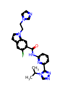 CC(C)n1cnnc1-c1cccc(NC(=O)c2cc3c(ccn3CCn3ccnc3)cc2F)n1